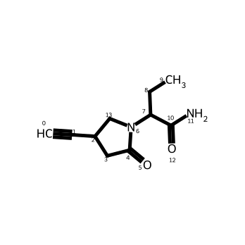 C#CC1CC(=O)N(C(CC)C(N)=O)C1